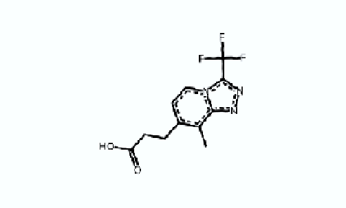 Cc1c(CCC(=O)O)ccn2c(C(F)(F)F)nnc12